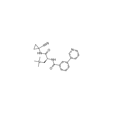 C[Si](C)(C)C[C@H](NC(=O)c1cccc(-c2cccnc2)c1)C(=O)NC1(C#N)CC1